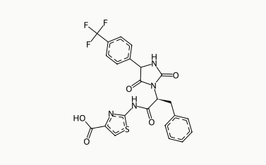 O=C(O)c1csc(NC(=O)[C@H](Cc2ccccc2)N2C(=O)NC(c3ccc(C(F)(F)F)cc3)C2=O)n1